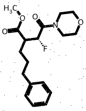 COC(=O)C(CCCc1ccccc1)[C@@H](F)C(=O)N1CCOCC1